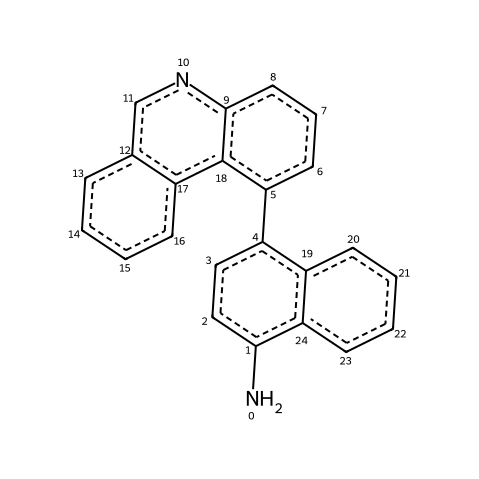 Nc1ccc(-c2cccc3ncc4ccccc4c23)c2ccccc12